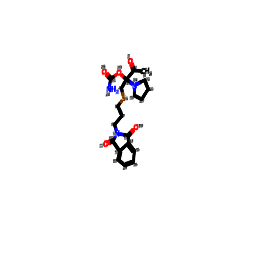 CC(=O)C(CSCCCN1C(=O)c2ccccc2C1=O)(OC(N)=O)N1CCCC1